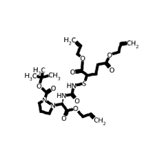 C=CCOC(=O)CCC(SNC(=O)N[C@H](C(=O)OCC=C)N1CCCN1C(=O)OC(C)(C)C)C(=O)OCC=C